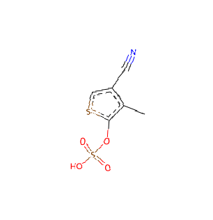 Cc1c(C#N)csc1OS(=O)(=O)O